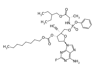 C#C[C@]1(CO[P@@](=O)(N[C@@H](C)C(=O)OCC(CC)CC)Oc2ccccc2)O[C@@H](n2cnc3c(N)nc(F)nc32)C[C@@H]1OC(=O)OCCCCCCCC